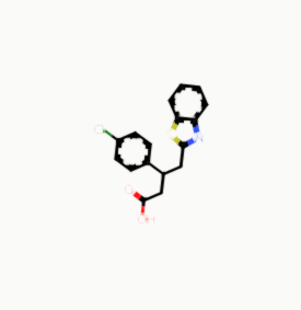 O=C(O)CC(Cc1nc2ccccc2s1)c1ccc(Cl)cc1